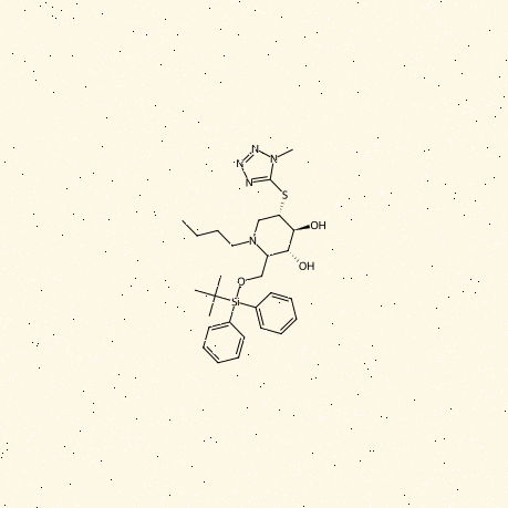 CCCCN1C[C@H](Sc2nnnn2C)[C@@H](O)[C@H](O)C1CO[Si](c1ccccc1)(c1ccccc1)C(C)(C)C